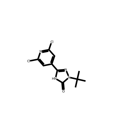 CC(C)(C)n1nc(-c2cc(Cl)nc(Cl)c2)[nH]c1=O